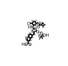 O=C(O)C(F)(F)F.O=C1N=C(Nc2cc(NC(=O)C3CCC3)ccc2Cl)S/C1=C\c1ccc2ncc(C(=O)O)cc2c1